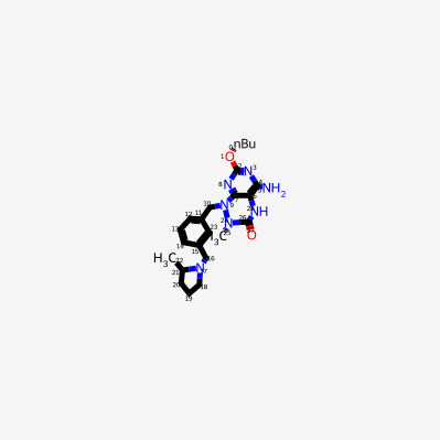 CCCCOc1nc(N)c2c(n1)N(Cc1cccc(CN3CCCC3C)c1)N(C)C(=O)N2